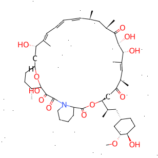 CO[C@@H]1C[C@H](C[C@@H](C)[C@@H]2CC(=O)[C@H](C)/C=C(\C)[C@@H](O)[C@@H](O)C(=O)[C@H](C)C[C@H](C)/C=C/C=C/C=C(\C)[C@@H](O)C[C@@H]3CC[C@@H](C)[C@@](O)(O3)C(=O)C(=O)N3CCCCC3C(=O)O2)CC[C@H]1O